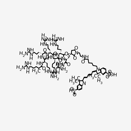 C[C@H](CCCNC(=N)N)C(=O)N[C@H](CCCNC(=N)N)C(=O)N[C@H](CCCNC(=N)N)C(=O)N[C@H](CCCNC(=N)N)C(=O)N[C@H](CCCNC(=N)N)C(=O)N[C@H](CCCNC(=N)N)C(=O)N[C@H](CSC1CC(=O)N(CCNC(=O)CCCCCN2/C(=C/C=C/C=C/C3=Nc4ccc([SH](=O)=O)cc4C3(C)C)C(C)(C)c3cc(S(=O)(=O)O)ccc32)C1=O)C(N)=O